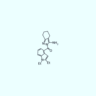 CCc1cc2c(C(=O)n3nc4c(c3N)CCCC4)cccc2n1CC